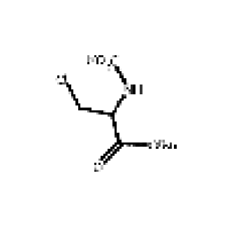 CC(C)COC(=O)C(CCl)NC(=O)O